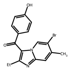 CCc1nc2cc(C)c(Br)cn2c1C(=O)c1ccc(O)cc1